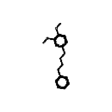 COc1ccc(CC[CH]Cc2ccccc2)cc1OC